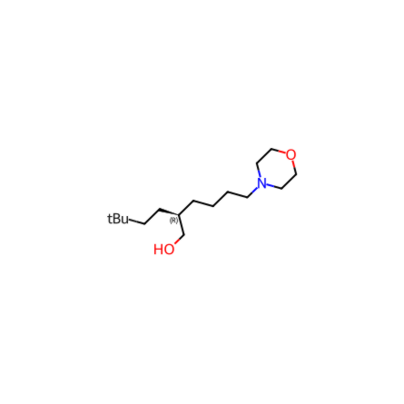 CC(C)(C)CC[C@H](CO)CCCCN1CCOCC1